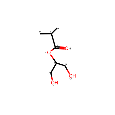 CC(C)C(=O)OC(CO)CO